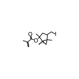 C=C(C)C(=O)OC1(C)CC(CI)C2(C)C[C@]12C